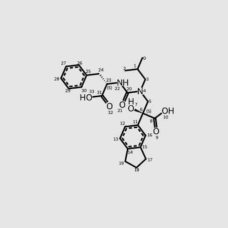 CC(C)CN(C[C@](O)(C(=O)O)c1ccc2c(c1)CCC2)C(=O)N[C@@H](Cc1ccccc1)C(=O)O